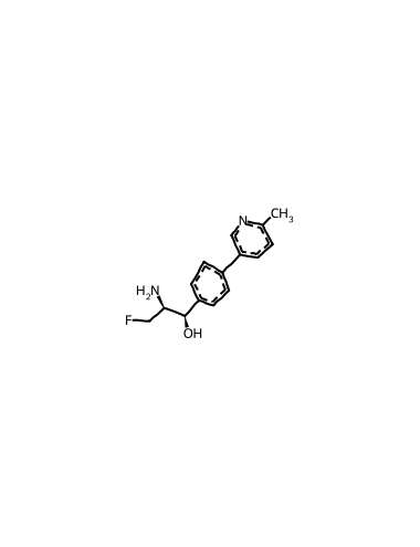 Cc1ccc(-c2ccc([C@@H](O)[C@H](N)CF)cc2)cn1